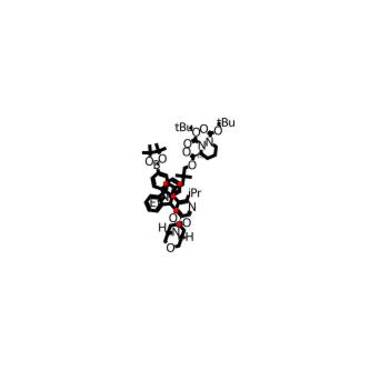 CCn1c(-c2cc([C@H]3C[C@H]4COC[C@@H](C3)N4C(=O)OCC3c4ccccc4-c4ccccc43)cnc2C(C)C)c(CC(C)(C)COC(=O)[C@@H]2CCCN(C(=O)OC(C)(C)C)N2C(=O)OC(C)(C)C)c2cc(B3OC(C)(C)C(C)(C)O3)ccc21